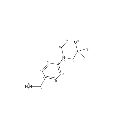 CC1(C)CN(c2ccc(CN)cc2)CCO1